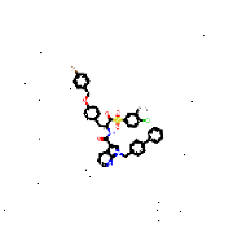 O=C(N[C@@H](Cc1ccc(OCc2ccc(Br)cc2)cc1)C(=O)S(=O)(=O)c1ccc(Cl)c([N+](=O)[O-])c1)c1cn(Cc2ccc(-c3ccccc3)cc2)c2ncccc12